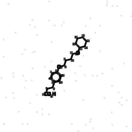 O=C(O)CCc1ccc(OCCCCOC2CCCCC2)cc1